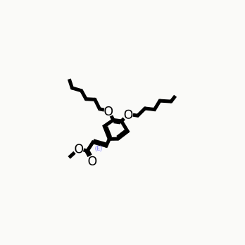 CCCCCCOc1ccc(/C=C/C(=O)OC)cc1OCCCCCC